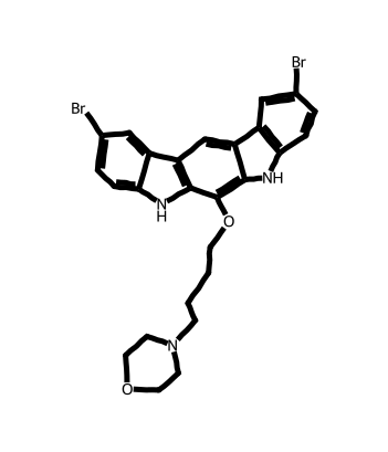 Brc1ccc2[nH]c3c(OCCCCN4CCOCC4)c4[nH]c5ccc(Br)cc5c4cc3c2c1